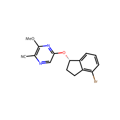 COc1nc(O[C@H]2CCc3c(Br)cccc32)cnc1C#N